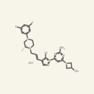 CCc1c(C=CCN2CCN(c3cc(F)cc(F)c3)C[C@H]2C)cnn1-c1cc(N2CC(O)C2)nc(N)n1.Cl